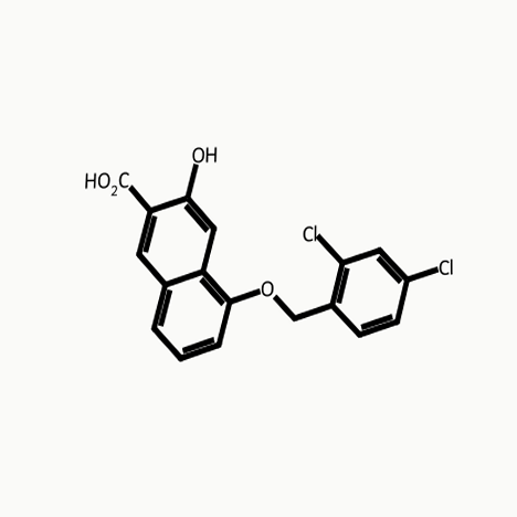 O=C(O)c1cc2cccc(OCc3ccc(Cl)cc3Cl)c2cc1O